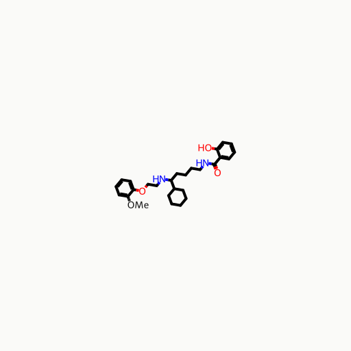 COc1ccccc1OCCNC(CCCCNC(=O)c1ccccc1O)C1CCCCC1